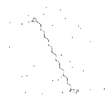 O=C(O)CCCCCCCCCCCCCCCCCC1CC1